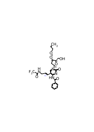 C=CCOCO[C@@H]1C[C@H](n2cc(/C=C/CNC(=O)C(F)(F)F)c(NC(=O)c3ccccc3)nc2=O)O[C@@H]1CO